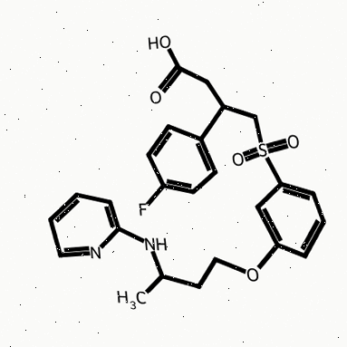 CC(CCOc1cccc(S(=O)(=O)CC(CC(=O)O)c2ccc(F)cc2)c1)Nc1ccccn1